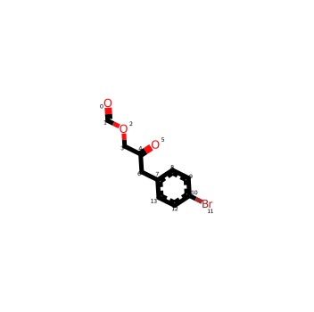 O=COCC(=O)Cc1ccc(Br)cc1